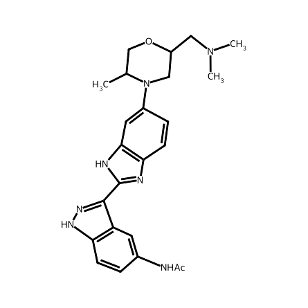 CC(=O)Nc1ccc2[nH]nc(-c3nc4ccc(N5CC(CN(C)C)OCC5C)cc4[nH]3)c2c1